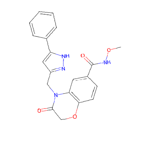 CONC(=O)c1ccc2c(c1)N(Cc1cc(-c3ccccc3)[nH]n1)C(=O)CO2